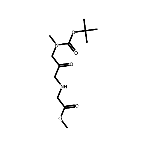 COC(=O)CNCC(=O)CN(C)C(=O)OC(C)(C)C